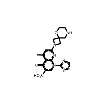 Cc1cc(N2CC3(CNCCO3)C2)nc2c1c(=O)c(C(=O)O)cn2-c1ncns1